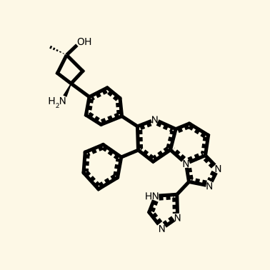 C[C@]1(O)C[C@](N)(c2ccc(-c3nc4ccc5nnc(-c6nnc[nH]6)n5c4cc3-c3ccccc3)cc2)C1